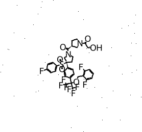 O=C(CO)N1CC[C@H](C(=O)N2CC[C@](c3ccc(C(OCc4c(F)cccc4F)(C(F)(F)F)C(F)(F)F)cc3)(S(=O)(=O)c3ccc(F)cc3)C2)C1